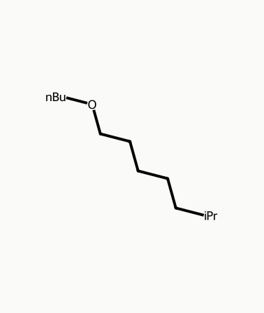 CCCCOCCCCCC(C)C